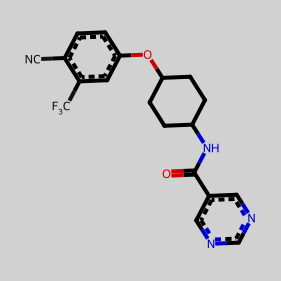 N#Cc1ccc(OC2CCC(NC(=O)c3cncnc3)CC2)cc1C(F)(F)F